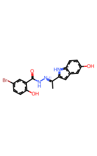 C/C(=N\NC(=O)c1cc(Br)ccc1O)c1cc2cc(O)ccc2[nH]1